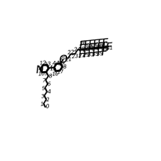 CCCCCCCCCc1cnccc1-c1cccc(OCCCCC(F)(F)C(F)(F)C(F)(F)C(F)(F)C(F)(F)C(F)(F)F)c1